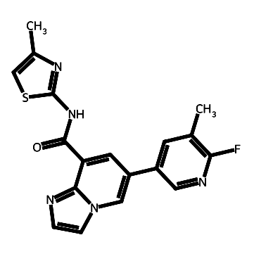 Cc1csc(NC(=O)c2cc(-c3cnc(F)c(C)c3)cn3ccnc23)n1